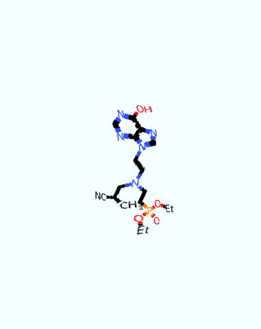 CCOP(=O)(CCN(CCn1cnc2c(O)ncnc21)CC(C)C#N)OCC